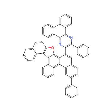 c1ccc(-c2ccc3cc(-c4nc5c6ccccc6c6ccccc6c5nc4-c4ccccc4)c4c5oc6ccc7ccccc7c6c5c5ccccc5c4c3c2)cc1